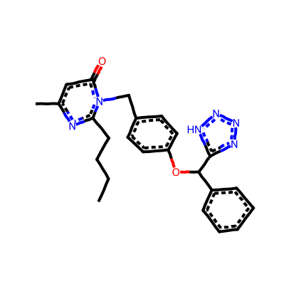 CCCCc1nc(C)cc(=O)n1Cc1ccc(OC(c2ccccc2)c2nnn[nH]2)cc1